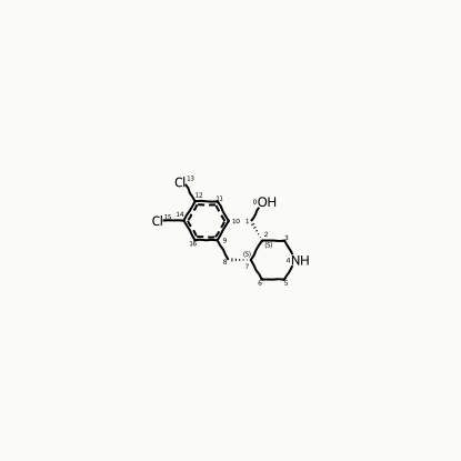 OC[C@@H]1CNCC[C@@H]1Cc1ccc(Cl)c(Cl)c1